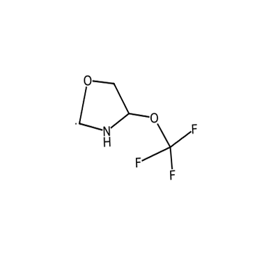 FC(F)(F)OC1CO[CH]N1